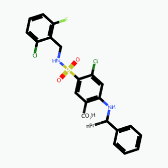 CCCC(Nc1cc(Cl)c(S(=O)(=O)NCc2c(F)cccc2Cl)cc1C(=O)O)c1ccccc1